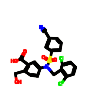 N#Cc1cccc(S(=O)(=O)N(Cc2c(Cl)cccc2Cl)c2ccc(CO)c(C(=O)O)c2)c1